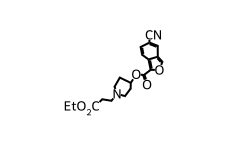 CCOC(=O)CCN1CCC(OC(=O)c2occ3cc(C#N)ccc23)CC1